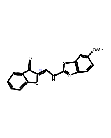 COc1ccc2nc(N/C=C3\Sc4ccccc4C3=O)sc2c1